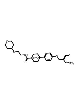 NCC(=CF)COc1ccc(C23CCC(C(=O)NCCOC4CCOCC4)(CC2)CC3)cc1